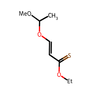 CCOC(=S)C=COC(C)OC